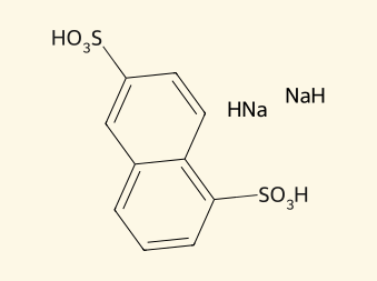 O=S(=O)(O)c1ccc2c(S(=O)(=O)O)cccc2c1.[NaH].[NaH]